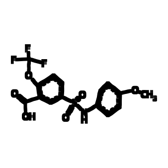 COc1ccc(NS(=O)(=O)c2ccc(OC(F)(F)F)c(C(=O)O)c2)cc1